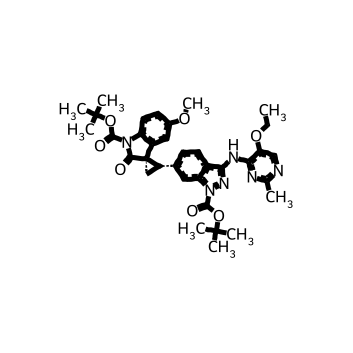 CCOc1cnc(C)nc1Nc1nn(C(=O)OC(C)(C)C)c2cc([C@@H]3C[C@@]34C(=O)N(C(=O)OC(C)(C)C)c3ccc(OC)cc34)ccc12